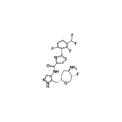 N[C@@H]1CC[C@@H](Cc2[nH]ncc2NC(=O)c2csc(-c3c(F)ccc(C(F)F)c3F)n2)OC[C@H]1F